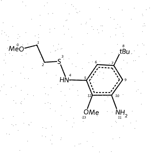 COCCSNc1cc(C(C)(C)C)cc(N)c1OC